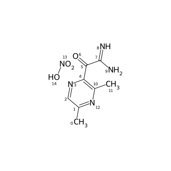 Cc1cnc(C(=O)C(=N)N)c(C)n1.O=[N+]([O-])O